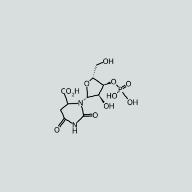 O=C1CC(C(=O)O)N([C@@H]2O[C@H](CO)[C@@H](OP(=O)(O)O)[C@H]2O)C(=O)N1